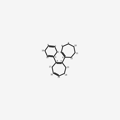 C1=CCC(C2=C(C3=CCCCCC3)CCC=CC2)=CC1